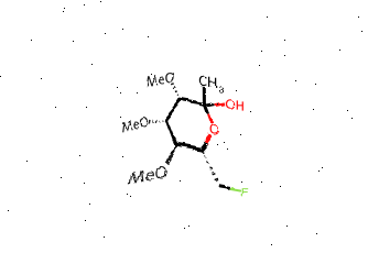 CO[C@H]1[C@H](OC)[C@H](OC)C(C)(O)O[C@@H]1CF